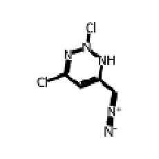 [N-]=[N+]=CC1=CC(Cl)=NN(Cl)N1